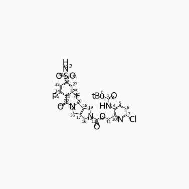 CC(C)(C)C(=O)Nc1ccc(Cl)nc1COC(=O)N1CC2=C(C1)CN(C(=O)c1c(F)cc(S(N)(=O)=O)cc1F)C2